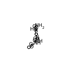 NC(=O)ONN=Cc1ccc(N2CC[C@H](NC(=O)NCCC(=O)OC3CCCCC3)C2=O)cc1